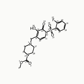 COC(=O)N1CCN(Cc2ccn(S(=O)(=O)c3ccccc3F)c(=O)c2O)CC1